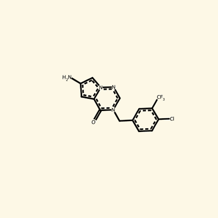 Nc1cc2c(=O)n(Cc3ccc(Cl)c(C(F)(F)F)c3)cnn2c1